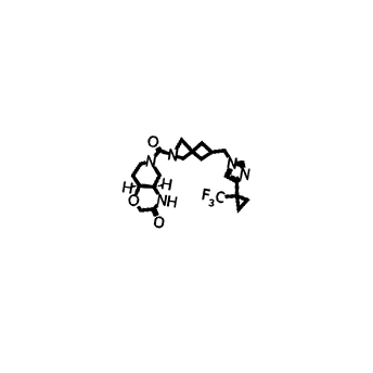 O=C1CO[C@H]2CCN(C(=O)N3CC4(CC(Cn5cnc(C6(C(F)(F)F)CC6)c5)C4)C3)C[C@H]2N1